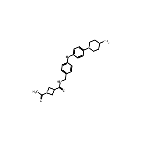 CC(=O)N1CC(C(=O)NCc2ccc(Nc3ccc(N4CCC(C)CC4)cc3)cc2)C1